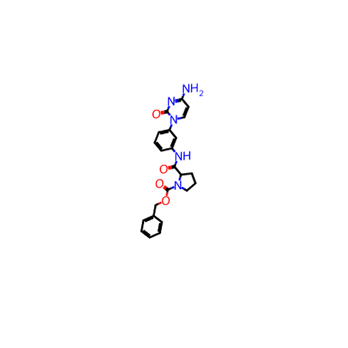 Nc1ccn(-c2cccc(NC(=O)C3CCCN3C(=O)OCc3ccccc3)c2)c(=O)n1